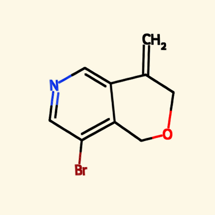 C=C1COCc2c(Br)cncc21